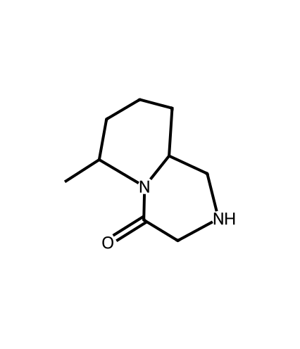 CC1CCCC2CNCC(=O)N12